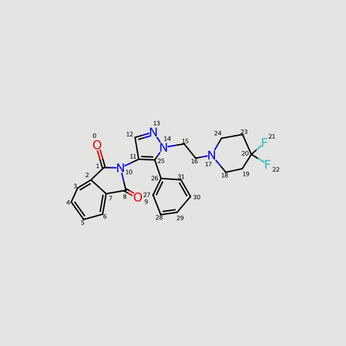 O=C1c2ccccc2C(=O)N1c1cnn(CCN2CCC(F)(F)CC2)c1-c1ccccc1